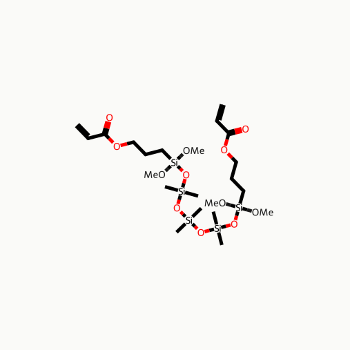 C=CC(=O)OCCC[Si](OC)(OC)O[Si](C)(C)O[Si](C)(C)O[Si](C)(C)O[Si](CCCOC(=O)C=C)(OC)OC